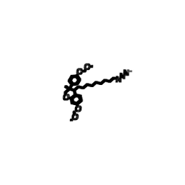 COCOc1ccc(C2(C)COc3cc(OCOC)ccc3C2CCCCCCCCCN=[N+]=[N-])cc1